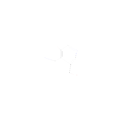 NCc1c(O)cncc1CO